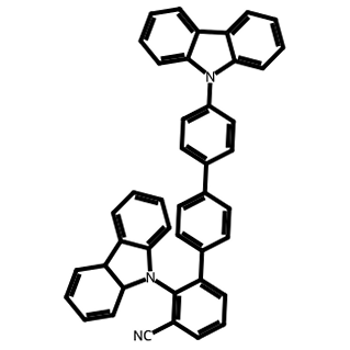 N#Cc1cccc(-c2ccc(-c3ccc(-n4c5ccccc5c5ccccc54)cc3)cc2)c1N1c2ccccc2C2C=CC=CC21